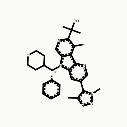 Cc1nnn(C)c1-c1cnc2c3c(F)c(C(C)(C)O)ncc3n([C@H](c3ccccc3)C3CCOCC3)c2c1